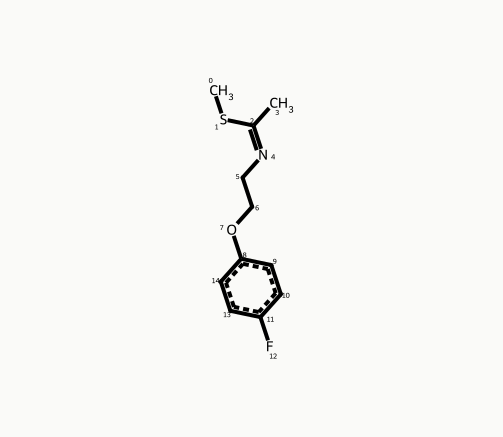 CSC(C)=NCCOc1ccc(F)cc1